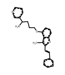 Cc1c(/C=C/c2ccccc2)oc2cccc(OCCCC(N)c3cccnc3)c12